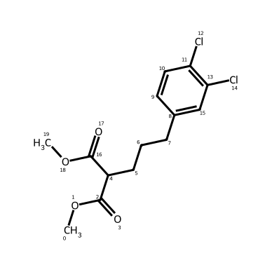 COC(=O)C(CCCc1ccc(Cl)c(Cl)c1)C(=O)OC